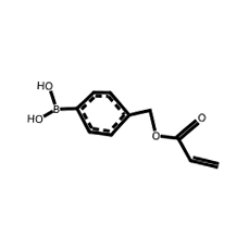 C=CC(=O)OCc1ccc(B(O)O)cc1